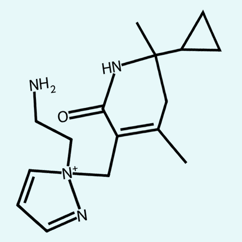 CC1=C(C[N+]2(CCN)C=CC=N2)C(=O)NC(C)(C2CC2)C1